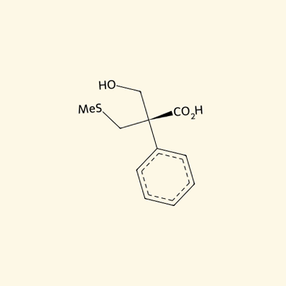 CSC[C@@](CO)(C(=O)O)c1ccccc1